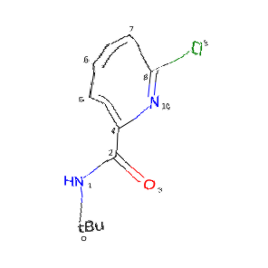 CC(C)(C)NC(=O)c1cccc(Cl)n1